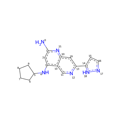 Nc1cc(NC2CCCC2)c2cnc(-c3ccn[nH]3)cc2n1